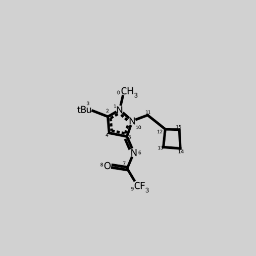 Cn1c(C(C)(C)C)cc(=NC(=O)C(F)(F)F)n1CC1CCC1